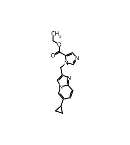 CCOC(=O)c1cncn1Cc1cn2cc(C3CC3)ccc2n1